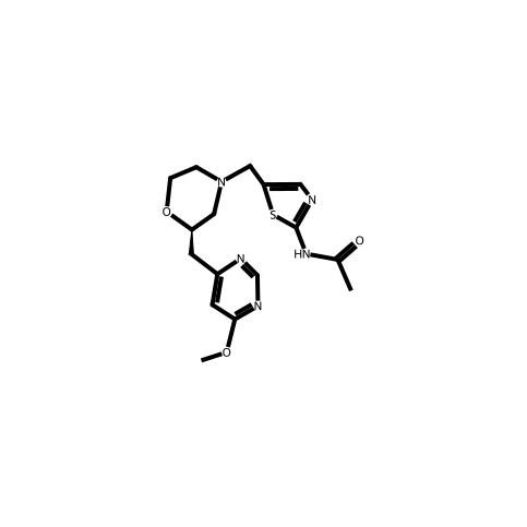 COc1cc(C[C@@H]2CN(Cc3cnc(NC(C)=O)s3)CCO2)ncn1